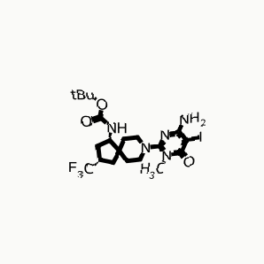 Cn1c(N2CCC3(CC2)C[C@H](C(F)(F)F)C[C@H]3NC(=O)OC(C)(C)C)nc(N)c(I)c1=O